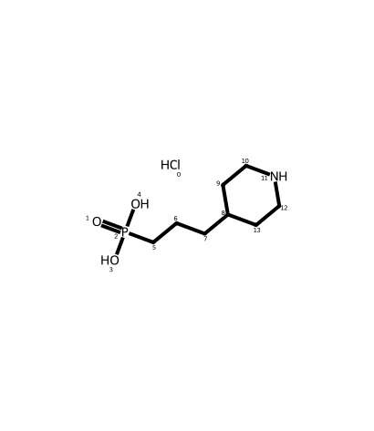 Cl.O=P(O)(O)CCCC1CCNCC1